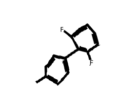 Cc1ccc(-c2c(F)[c]ccc2F)cc1